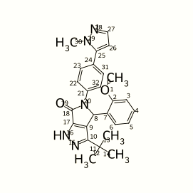 COc1ccccc1C1c2c(C(C)(C)C)n[nH]c2C(=O)N1c1ccc(-c2ccnn2C)cc1